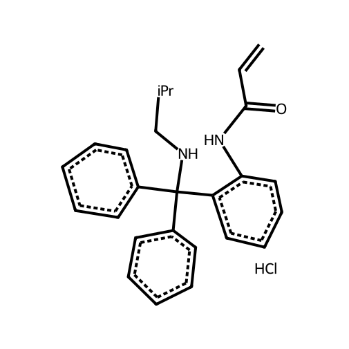 C=CC(=O)Nc1ccccc1C(NCC(C)C)(c1ccccc1)c1ccccc1.Cl